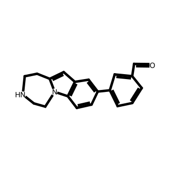 O=Cc1cccc(-c2ccc3c(c2)cc2n3CCNCC2)c1